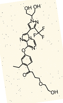 CCc1cc(Oc2nccn3c(-c4cn(C(CO)CO)nc4C(F)(F)F)cnc23)ccc1C(=O)CCCOCCO